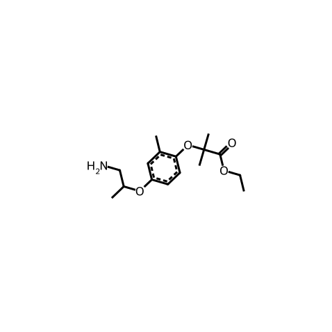 CCOC(=O)C(C)(C)Oc1ccc(OC(C)CN)cc1C